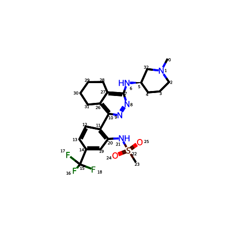 CN1CCC[C@@H](Nc2nnc(-c3ccc(C(F)(F)F)cc3NS(C)(=O)=O)c3c2CCCC3)C1